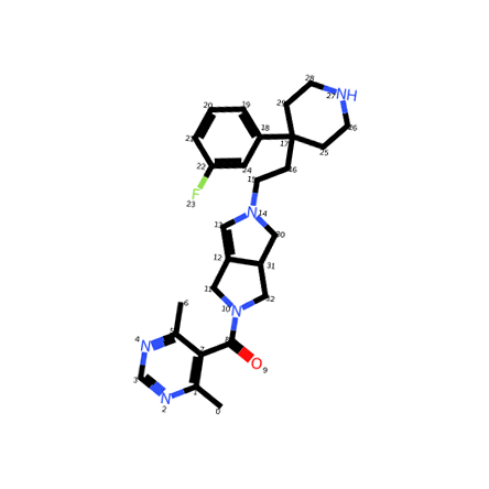 Cc1ncnc(C)c1C(=O)N1CC2=CN(CCC3(c4cccc(F)c4)CCNCC3)CC2C1